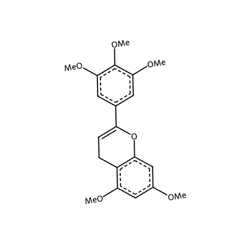 COc1cc(OC)c2c(c1)OC(c1cc(OC)c(OC)c(OC)c1)=CC2